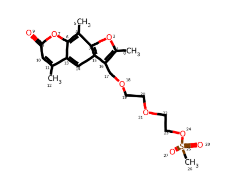 Cc1oc2c(C)c3oc(=O)cc(C)c3cc2c1COCCOCCOS(C)(=O)=O